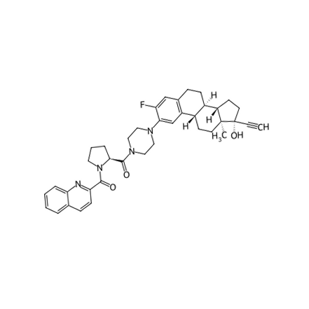 C#C[C@]1(O)CC[C@H]2[C@@H]3CCc4cc(F)c(N5CCN(C(=O)[C@@H]6CCCN6C(=O)c6ccc7ccccc7n6)CC5)cc4[C@H]3CC[C@@]21C